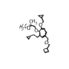 CO[C@H](C)COC1=C(CCC2CC2)C=C(COCC2CCC2)CC=C1OCC1CC1